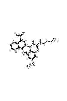 CCCCNC(=O)NC(c1ccc(OC)cc1)c1cc([N+](=O)[O-])c2cccnc2c1O